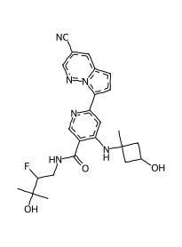 CC1(Nc2cc(-c3ccc4cc(C#N)cnn34)ncc2C(=O)NCC(F)C(C)(C)O)CC(O)C1